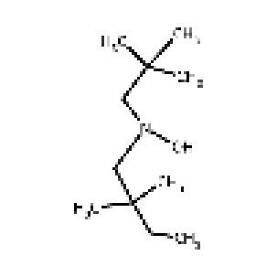 CCC(C)(C)CN(O)CC(C)(C)C